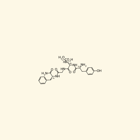 CC(=O)O.CCCC[C@@H](NC(=O)[C@@H](N)Cc1ccc(O)cc1)C(=O)NCC(=O)N[C@@H](Cc1ccccc1)C(N)=O.O